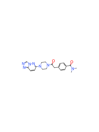 CN(C)C(=O)c1ccc(CC(=O)N2CCN(c3ccc4nncn4n3)CC2)cc1